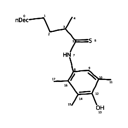 CCCCCCCCCCCCC(C)C(=S)Nc1cc(C)c(O)c(C)c1C